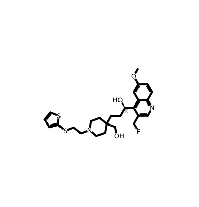 COc1ccc2ncc(CF)c([C@H](O)CCC3(CO)CCN(CCSc4cccs4)CC3)c2c1